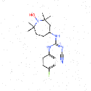 CC1(C)CCC(N/C(=N/C#N)Nc2ccc(F)cc2)CC(C)(C)N1O